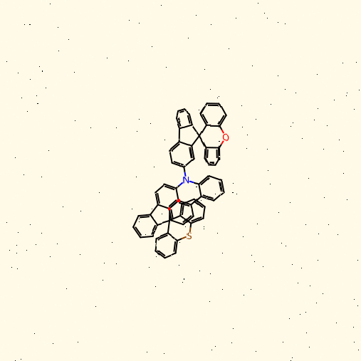 c1ccc(-c2ccccc2N(c2ccc3c(c2)C2(c4ccccc4Oc4ccccc42)c2ccccc2-3)c2ccc3c(c2)C2(c4ccccc4Sc4ccccc42)c2ccccc2-3)cc1